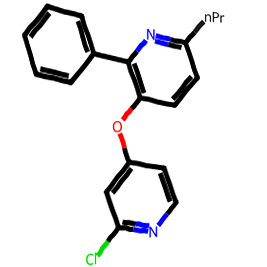 CCCc1ccc(Oc2ccnc(Cl)c2)c(-c2ccccc2)n1